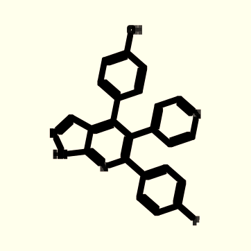 Oc1ccc(-c2c(-c3ccncc3)c(-c3ccc(F)cc3)nc3[nH]ncc23)cc1